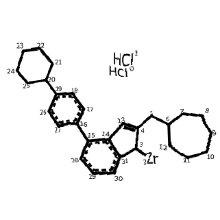 Cl.Cl.[Zr][CH]1C(CC2CCCCCC2)=Cc2c(-c3ccc(C4CCCCC4)cc3)cccc21